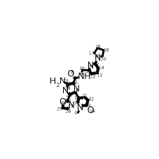 Cn1cc(-c2nc(C(=O)NCc3cccc(N4CCCC4)n3)c(N)nc2-c2ncco2)ccc1=O